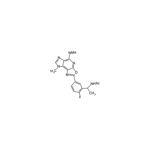 CNc1nc2oc(-c3ccc(F)c(C(C)NC(C)=O)c3)nc2c2c1ncn2C